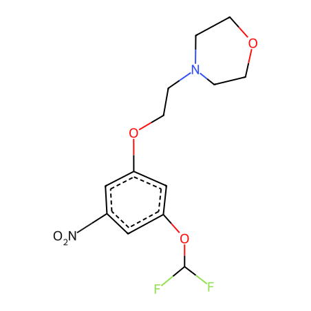 O=[N+]([O-])c1cc(OCCN2CCOCC2)cc(OC(F)F)c1